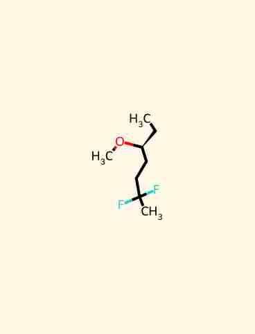 CC[C@@H](CCC(C)(F)F)OC